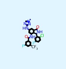 Cn1cnc(Nc2cc(NC(=O)c3cc(F)cc(C(F)(F)F)c3)c3c(c2)C(=O)NC3c2cc(F)ccc2Cl)n1